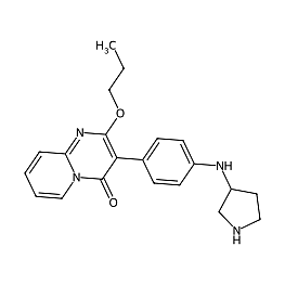 CCCOc1nc2ccccn2c(=O)c1-c1ccc(NC2CCNC2)cc1